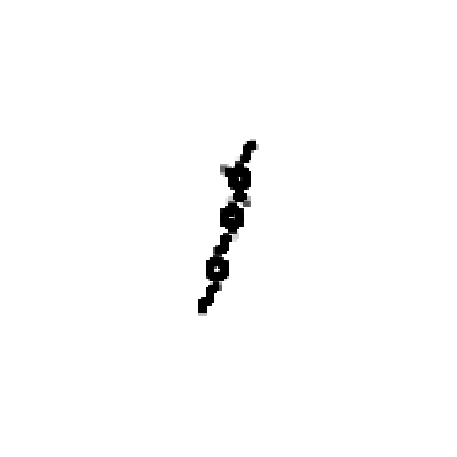 CCCCC[C@H]1CC[C@H](CCCOc2ccc(OC(=O)c3ccc(OCCC)c(F)c3)cc2)CC1